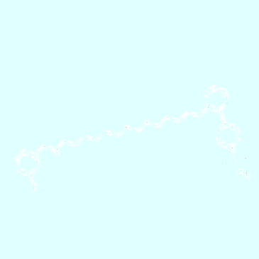 CS(=O)(=O)c1ccc(-c2ccccc2CCCCCCCCCCCCCCC(=O)Cc2cccc(F)c2)cc1